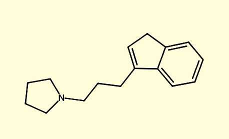 C1=C(CCCN2CCCC2)c2ccccc2C1